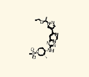 CCOC(C)n1cc(-c2cc3nc(N[C@H]4CCN(S(C)(=O)=O)C[C@H]4C)nn3cn2)cn1